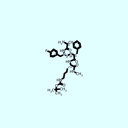 CNC(=O)[C@H](CCCCNC(=O)OC(C)(C)C)NC(=O)[C@@H](Cc1ccccc1)NSN(Cc1ccc(F)cc1)NC(=O)[C@H](C)N